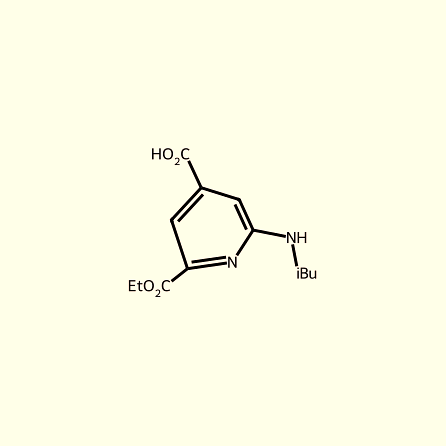 CCOC(=O)c1cc(C(=O)O)cc(NC(C)CC)n1